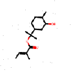 CC=C(C)C(=O)OC(C)(C)C1CCC(C)C(O)C1